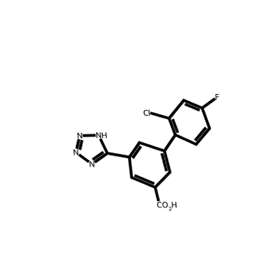 O=C(O)c1cc(-c2nnn[nH]2)cc(-c2ccc(F)cc2Cl)c1